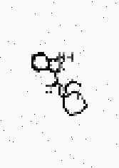 O=C(c1n[nH]c2ccccc12)N1CC[N@]2CCCC[C@H]1C2